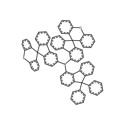 c1ccc(C2(c3ccccc3)c3ccccc3-c3c(N(c4ccc5c(c4)-c4ccccc4C54c5ccccc5Sc5ccccc54)c4cccc5c4-c4ccccc4C54c5ccccc5Oc5ccccc54)cccc32)cc1